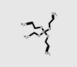 C=CCO[Si](OCC)(OCC=C)OCC=C